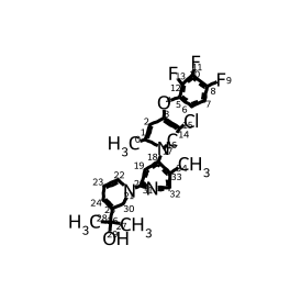 CC1=CC(Oc2ccc(F)c(F)c2F)=C(Cl)CN1c1cc(N2C=CC=C(C(C)(C)O)C2)ncc1C